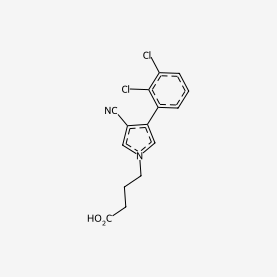 N#Cc1cn(CCCC(=O)O)cc1-c1cccc(Cl)c1Cl